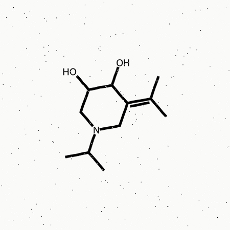 CC(C)=C1CN(C(C)C)CC(O)C1O